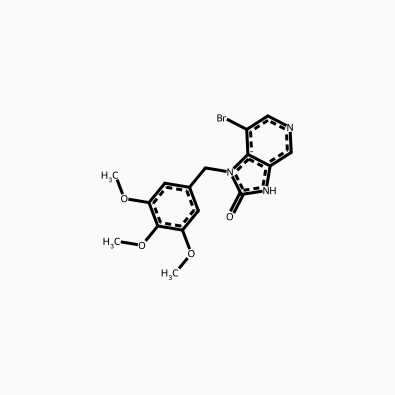 COc1cc(Cn2c(=O)[nH]c3cncc(Br)c32)cc(OC)c1OC